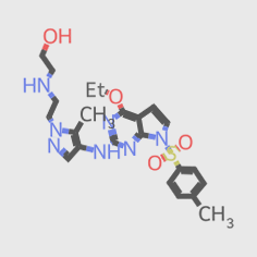 CCOc1nc(Nc2cnn(CCNCCO)c2C)nc2c1ccn2S(=O)(=O)c1ccc(C)cc1